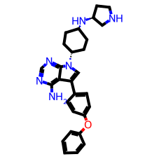 Nc1ncnc2c1c(-c1ccc(Oc3ccccc3)cc1)cn2[C@H]1CC[C@@H](N[C@H]2CCNC2)CC1